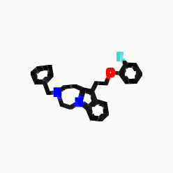 Fc1ccccc1OCCc1c2n(c3ccccc13)CCN(Cc1ccccc1)CC2